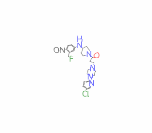 O=Nc1ccc(NC2CCN(C(=O)CCN3CCN(c4ccc(Cl)cn4)CC3)CC2)cc1CF